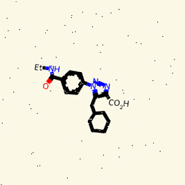 CCNC(=O)c1ccc(-n2nnc(C(=O)O)c2CC2CCCCC2)cc1